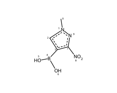 Cn1cc(B(O)O)c([N+](=O)[O-])n1